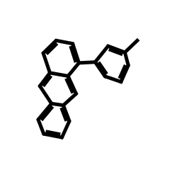 Cc1cccc(-c2cccc3cc4ccccc4cc23)c1